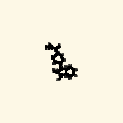 C=C(NC)c1ccc(N2C(=C)N(C)c3ccccc32)cn1